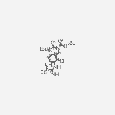 CCN(C)C(=N)Nc1cccc(CN(C(=O)OC(C)(C)C)C(=O)OC(C)(C)C)c1Cl